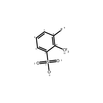 [O]S(=O)(=O)c1cccc(F)c1C(F)(F)F